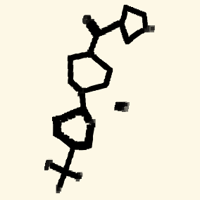 Cl.O=C(C1CCNC1)N1CCN(c2ncc(C(F)(F)F)cn2)CC1